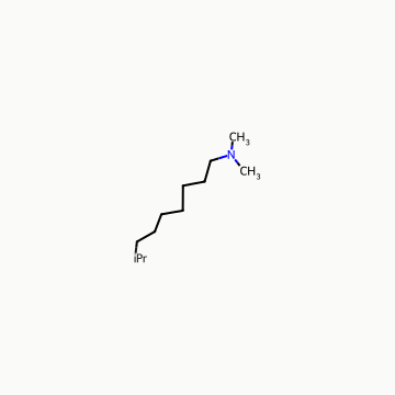 CC(C)CCCCCCCN(C)C